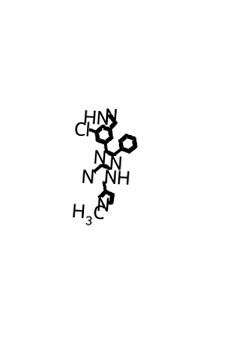 Cn1ccc(CNc2nc(-c3ccccc3)c(-c3cc(Cl)c4[nH]ncc4c3)nc2C#N)c1